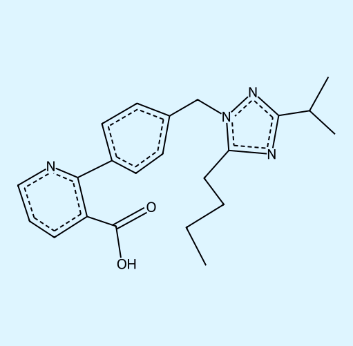 CCCCc1nc(C(C)C)nn1Cc1ccc(-c2ncccc2C(=O)O)cc1